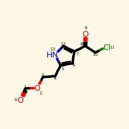 O=COCCc1cc(C(=O)CCl)c[nH]1